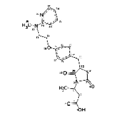 CC(CC(=O)O)N1C(=O)SC(Cc2ccc(OCCN(C)c3ccccn3)cc2)C1=O